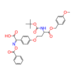 COc1ccc(COC(=O)C(CCOc2ccc(/C(=N\OC(=O)c3ccccc3)C(=O)O)cc2)NC(=O)OC(C)(C)C)cc1